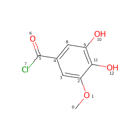 COc1cc(C(=O)Cl)cc(O)c1O